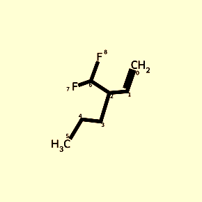 C=CC(CCC)[C](F)F